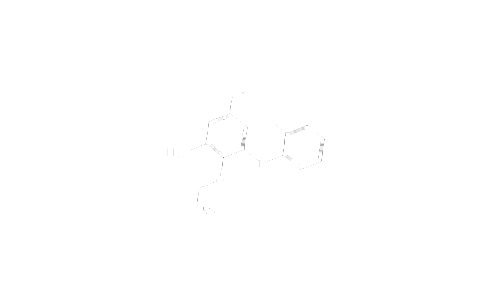 COCOc1c(C)cc(C(C)(C)C)cc1Pc1ccccc1F